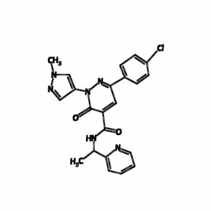 CC(NC(=O)c1cc(-c2ccc(Cl)cc2)nn(-c2cnn(C)c2)c1=O)c1ccccn1